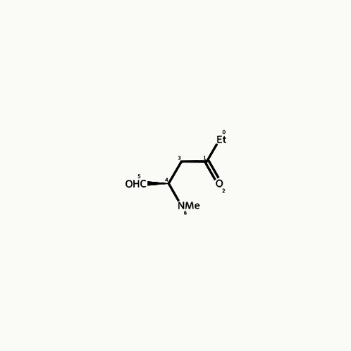 CCC(=O)C[C@H](C=O)NC